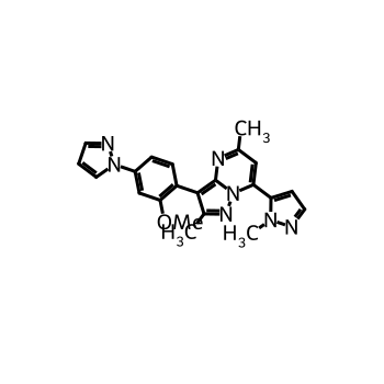 COc1cc(-n2cccn2)ccc1-c1c(C)nn2c(-c3ccnn3C)cc(C)nc12